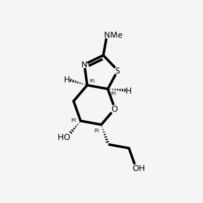 CNC1=N[C@@H]2C[C@@H](O)[C@@H](CCO)O[C@@H]2S1